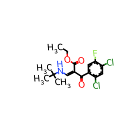 CCOC(=O)C(=CNC(C)(C)C)C(=O)c1cc(F)c(Cl)cc1Cl